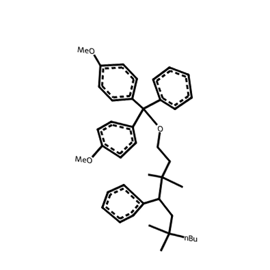 CCCCC(C)(C)CC(c1ccccc1)C(C)(C)CCOC(c1ccccc1)(c1ccc(OC)cc1)c1ccc(OC)cc1